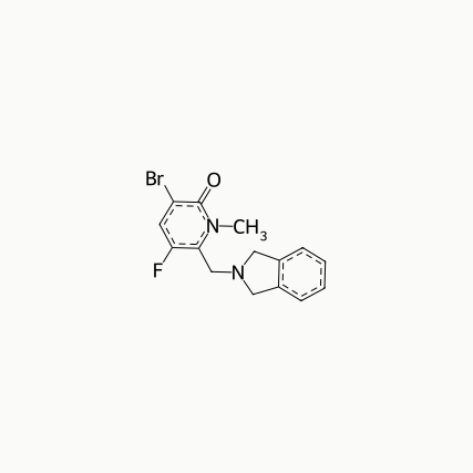 Cn1c(CN2Cc3ccccc3C2)c(F)cc(Br)c1=O